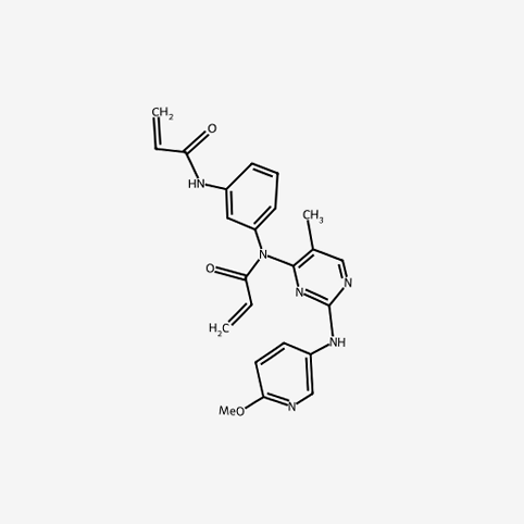 C=CC(=O)Nc1cccc(N(C(=O)C=C)c2nc(Nc3ccc(OC)nc3)ncc2C)c1